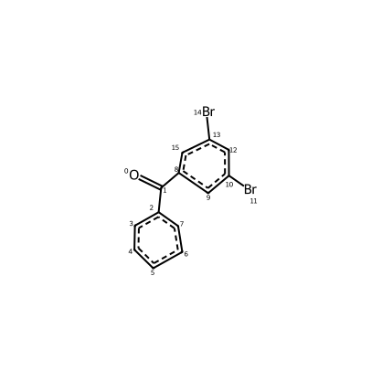 O=C(c1ccccc1)c1cc(Br)cc(Br)c1